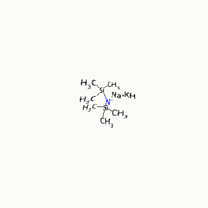 C[Si](C)(C)[N-][Si](C)(C)C.[KH].[Na+]